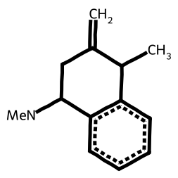 C=C1CC(NC)c2ccccc2C1C